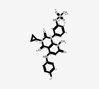 Cn1c(=O)cc(Nc2ccc(I)cc2)c2c(=O)n(C3CC3)c(=O)n(-c3cccc(NS(C)(=O)=O)c3)c21